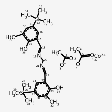 CC(=O)[O-].CC(=O)[O-].Cc1cc([Si](C)(C)C)cc(C=NCN=Cc2cc([Si](C)(C)C)cc(C)c2O)c1O.[Co+2]